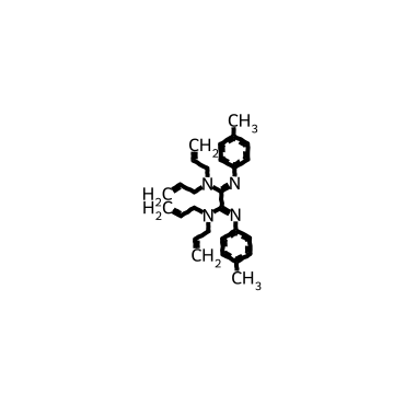 C=CCN(CC=C)C(=Nc1ccc(C)cc1)C(=Nc1ccc(C)cc1)N(CC=C)CC=C